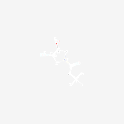 CC(C)(C)CC(=O)N1C[C@H](O)[C@@H](O)C1